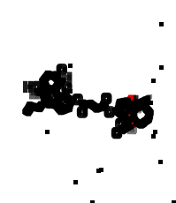 C=CCN1CCC23c4c5ccc(OC(=O)CCC(=O)Oc6ccc7c8c6O[C@H]6C(=O)CC[C@@]9(OC)[C@@H](C7)C(C)CCCC869)c4O[C@H]2C(=O)CC[C@@]3(O)[C@H]1C5